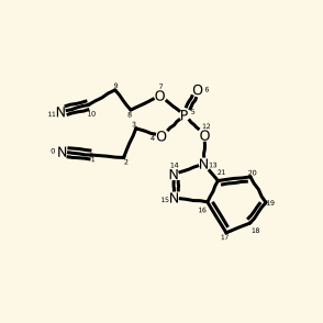 N#CCCOP(=O)(OCCC#N)On1nnc2ccccc21